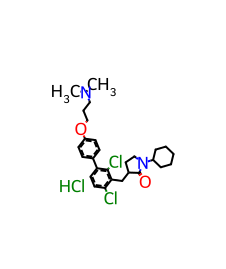 CN(C)CCCOc1ccc(-c2ccc(Cl)c(CC3CCN(C4CCCCC4)C3=O)c2Cl)cc1.Cl